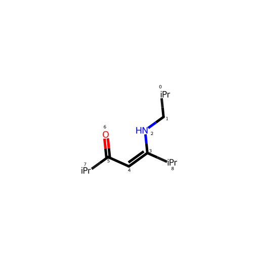 CC(C)CN/C(=C\C(=O)C(C)C)C(C)C